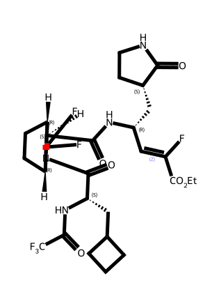 CCOC(=O)/C(F)=C/[C@@H](C[C@@H]1CCNC1=O)NC(=O)[C@@H]1[C@H]2CC[C@H](CC2(F)F)N1C(=O)[C@H](CC1CCC1)NC(=O)C(F)(F)F